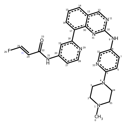 CN1CCN(c2ccc(Nc3ncc4cccc(-c5cc(NC(=O)/C=C/F)ccn5)c4n3)cn2)CC1